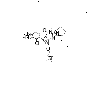 Cn1cc2c(Cl)c(-c3cn(COCC[Si](C)(C)C)c4nc(N5C6CCCCC5CC6)n(C)c(=O)c34)ccc2n1